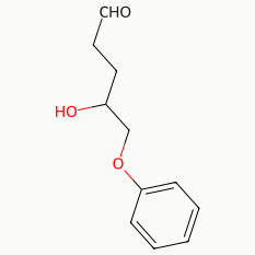 O=CCCC(O)COc1ccccc1